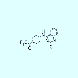 O=C(N1CCC(Nc2nc(Cl)nc3ccccc23)CC1)C(F)(F)F